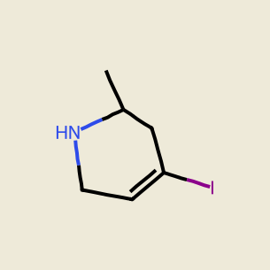 CC1CC(I)=CCN1